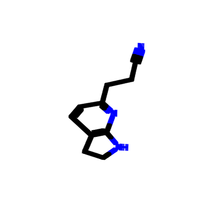 N#CCCc1ccc2c(n1)NCC2